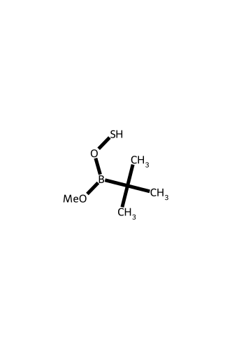 COB(OS)C(C)(C)C